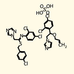 C=CCOC(Cn1ccnc1)c1ccc(Cl)cc1Cl.Clc1ccc(CS/C(Cn2cncn2)=N\c2ccc(Cl)cc2Cl)cc1.O=S(=O)(O)O